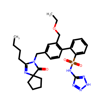 CCCCC1=NC2(CCCC2)C(=O)N1Cc1ccc(-c2ccccc2S(=O)(=O)Nc2nn[nH]n2)c(COCC)c1